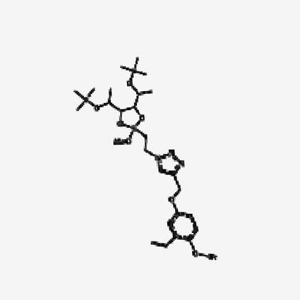 C=Cc1cc(OCc2cn(CC[Si]3(OC)OC(C(C)O[Si](C)(C)C)C(C(C)O[Si](C)(C)C)O3)nn2)ccc1OC(C)C